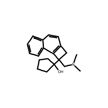 CN(C)CC1(C2(O)CCCC2)Cc2ccc3ccccc3c21